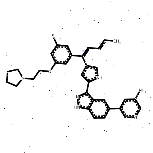 C/C=C/C=C(/c1cc(F)cc(OCCN2CCCC2)c1)c1c[nH]c(-c2n[nH]c3ccc(-c4cncc(N)c4)cc23)c1